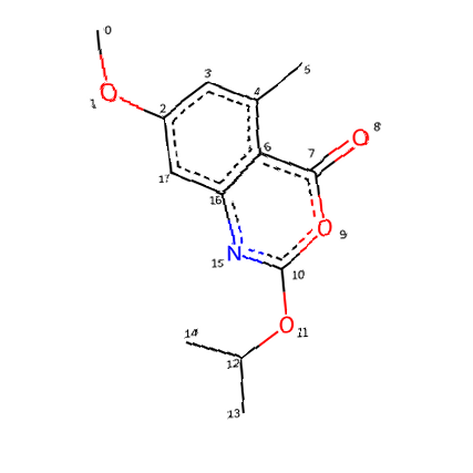 COc1cc(C)c2c(=O)oc(OC(C)C)nc2c1